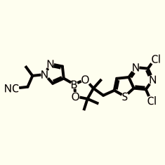 CC(CC#N)n1cc(B2OC(C)(C)C(C)(Cc3cc4nc(Cl)nc(Cl)c4s3)O2)cn1